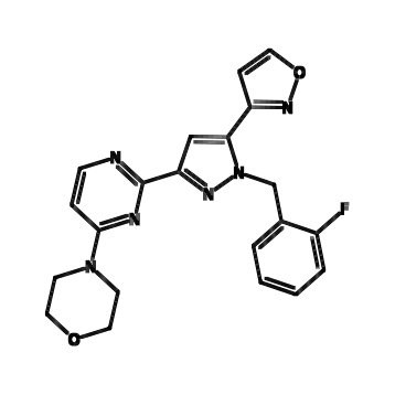 Fc1ccccc1Cn1nc(-c2nccc(N3CCOCC3)n2)cc1-c1ccon1